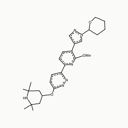 COc1nc(-c2ccc(OC3CC(C)(C)NC(C)(C)C3)nn2)ccc1-c1cnn(C2CCCCO2)c1